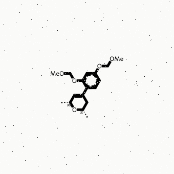 COCOc1ccc(C2=C[C@@H](C)O[C@@H](C)C2)c(OCOC)c1